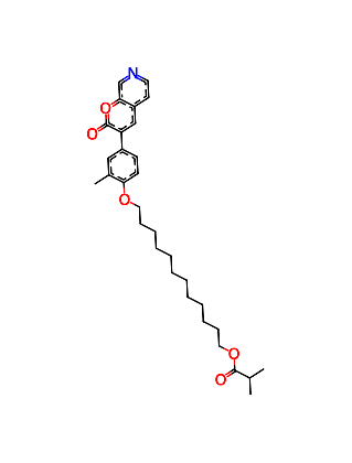 Cc1cc(-c2cc3ccncc3oc2=O)ccc1OCCCCCCCCCCCCOC(=O)C(C)C